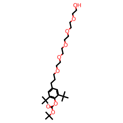 CC(C)(C)OC(=O)Oc1c(C(C)(C)C)cc(CCCOCCOCCOCCOCCOCCO)cc1C(C)(C)C